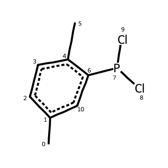 Cc1ccc(C)c(P(Cl)Cl)c1